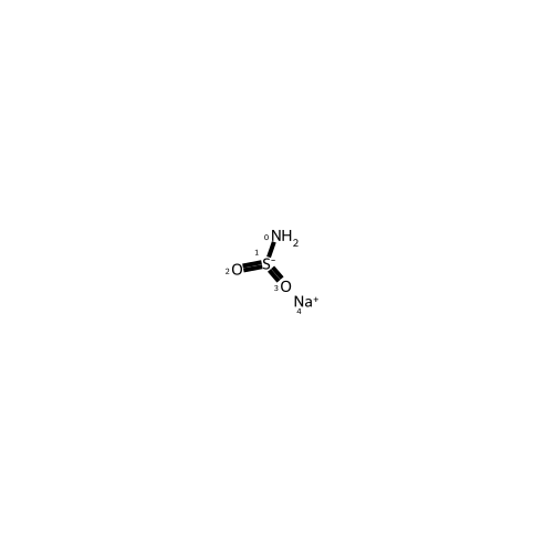 N[S-](=O)=O.[Na+]